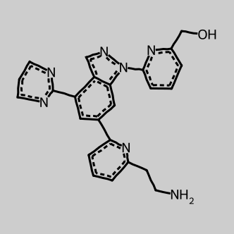 NCCc1cccc(-c2cc(-c3ncccn3)c3cnn(-c4cccc(CO)n4)c3c2)n1